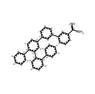 N=C(N)c1cccc(-c2cccc(-c3ccc(-c4ccccc4)c(-c4ccccc4-c4ccccc4)c3)c2)c1